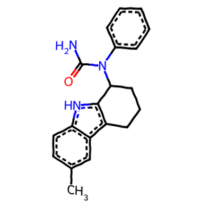 Cc1ccc2[nH]c3c(c2c1)CCCC3N(C(N)=O)c1ccccc1